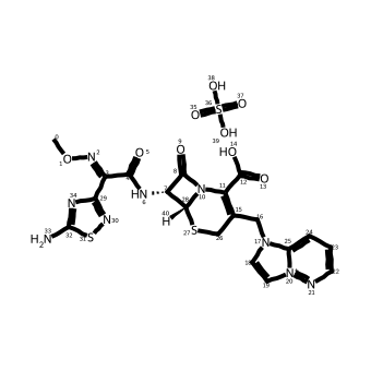 CO/N=C(/C(=O)N[C@@H]1C(=O)N2C(C(=O)O)=C(Cn3cc[n+]4ncccc34)CS[C@H]12)c1nsc(N)n1.O=S(=O)(O)O